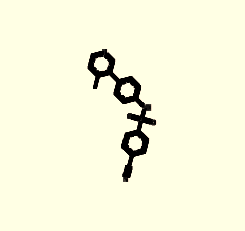 Cc1ccncc1-c1ccc(NS(=O)(=O)c2ccc(C#N)cc2)cc1